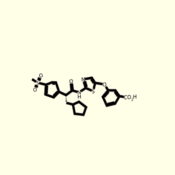 CS(=O)(=O)c1ccc([C@@H](CC2CCCC2)C(=O)Nc2ncc(Oc3cccc(C(=O)O)c3)s2)cc1